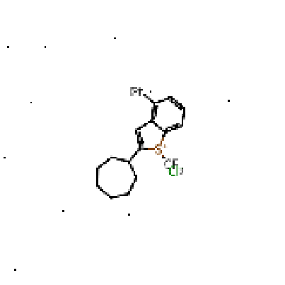 CCc1cccc2c1cc(C1CCCCCC1)[s+]2C(F)(F)F.[Cl-]